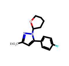 CCOC(=O)c1cc(-c2ccc(F)cc2)n(C2CCCCO2)n1